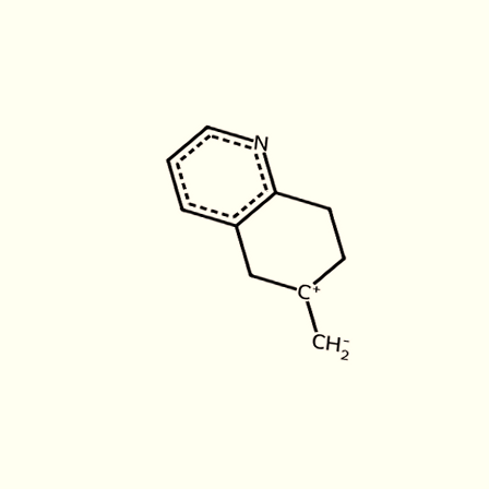 [CH2-][C+]1CCc2ncccc2C1